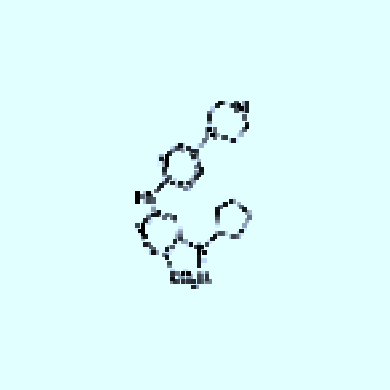 CCOC(=O)c1cnc(Nc2ccc(N3CCNCC3)cn2)cc1NC1CCCC1